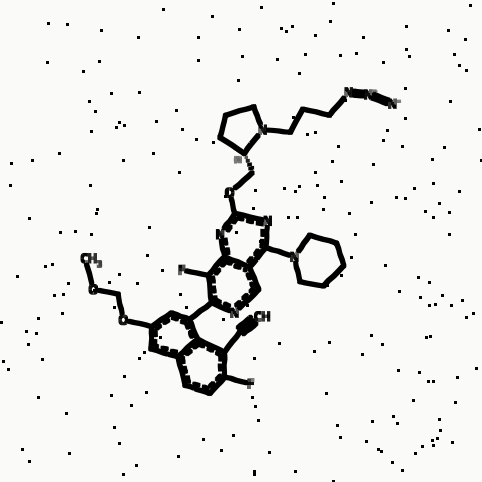 C#Cc1c(F)ccc2cc(OCOC)cc(-c3ncc4c(N5CCCCC5)nc(OC[C@@H]5CCCN5CCCN=[N+]=[N-])nc4c3F)c12